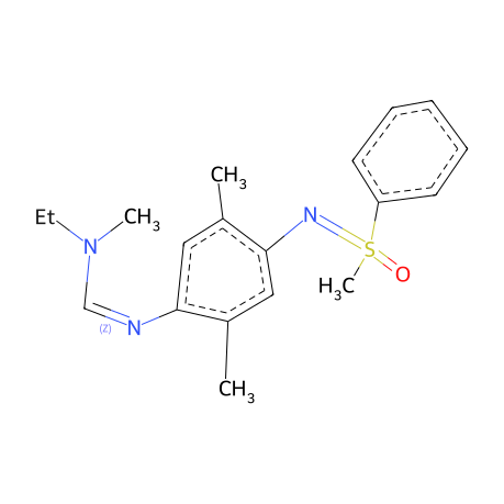 CCN(C)/C=N\c1cc(C)c(N=S(C)(=O)c2ccccc2)cc1C